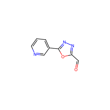 O=Cc1nnc(-c2cccnc2)o1